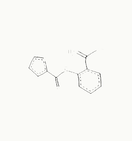 C=C(C)c1ccccc1NC(=O)c1cccs1